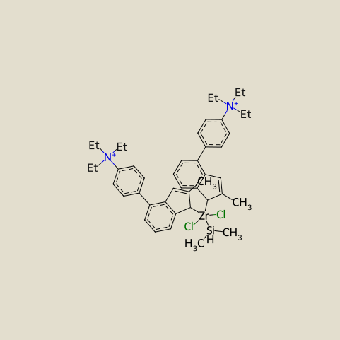 CC[N+](CC)(CC)c1ccc(-c2cccc3c2C=C(C)[CH]3[Zr]([Cl])([Cl])([CH]2C(C)=Cc3c(-c4ccc([N+](CC)(CC)CC)cc4)cccc32)[SiH](C)C)cc1